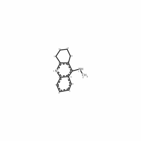 CNc1c2c(nc3ccccc13)CCCC2